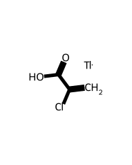 C=C(Cl)C(=O)O.[Tl]